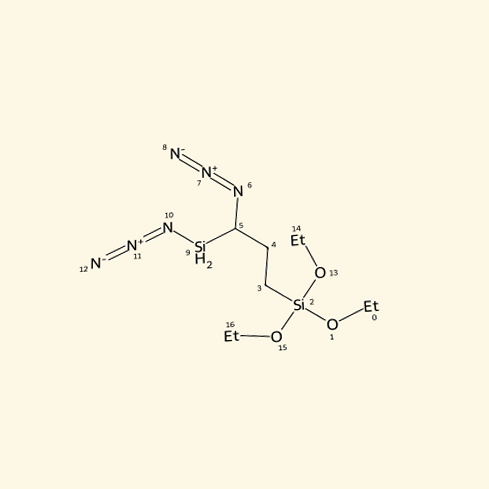 CCO[Si](CCC(N=[N+]=[N-])[SiH2]N=[N+]=[N-])(OCC)OCC